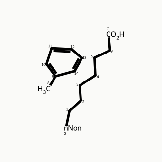 CCCCCCCCCCCCCCCC(=O)O.Cc1ccccc1